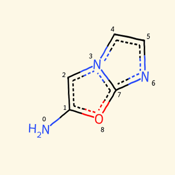 Nc1cn2ccnc2o1